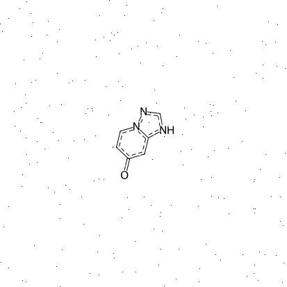 O=c1[c]cn2nc[nH]c2c1